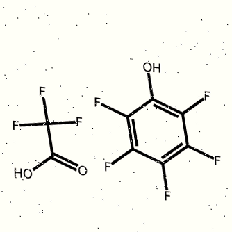 O=C(O)C(F)(F)F.Oc1c(F)c(F)c(F)c(F)c1F